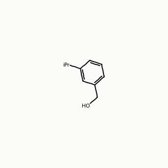 CC(C)c1cccc(CO)c1